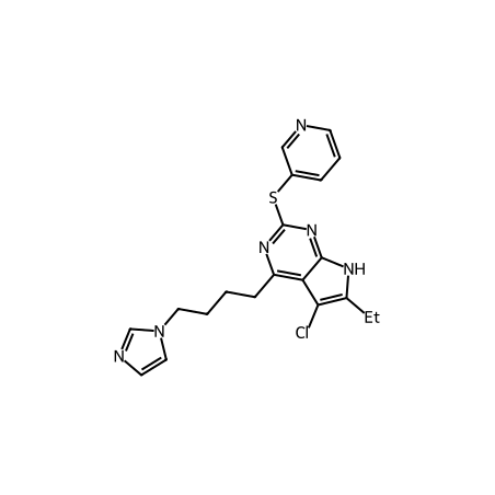 CCc1[nH]c2nc(Sc3cccnc3)nc(CCCCn3ccnc3)c2c1Cl